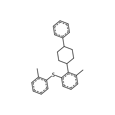 Cc1ccccc1Sc1cccc(C)c1C1CCC(c2ccccc2)CC1